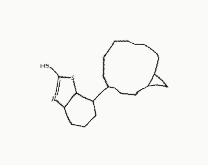 SC1=NC2CCCC(C3CCCCCCC4CC4CC3)C2S1